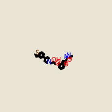 Cc1nnc(-c2cc3c(OC[C@@H](O)CN4CCC(c5ccc6sccc6c5)CC4)cccc3o2)o1